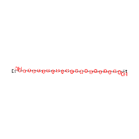 CCC(O)COCCOCCOCCOCCOCCOCCOCCOCCOCCOCCOCCOCCOCCOCCOCCOCCOCCOCCOCCOCCOCCOCC(O)CC